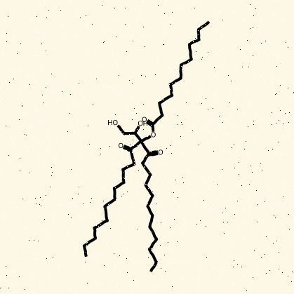 CCCCCCCCCCCC(=O)OC(C(=O)CCCCCCCCCCC)(C(=O)CCCCCCCCCCC)C(O)CO